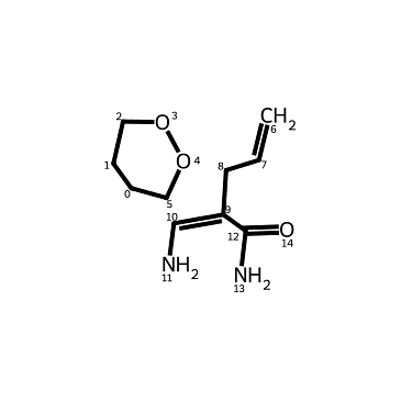 C1CCOOC1.C=CCC(=CN)C(N)=O